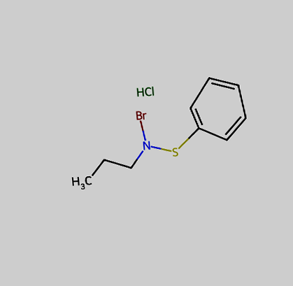 CCCN(Br)Sc1ccccc1.Cl